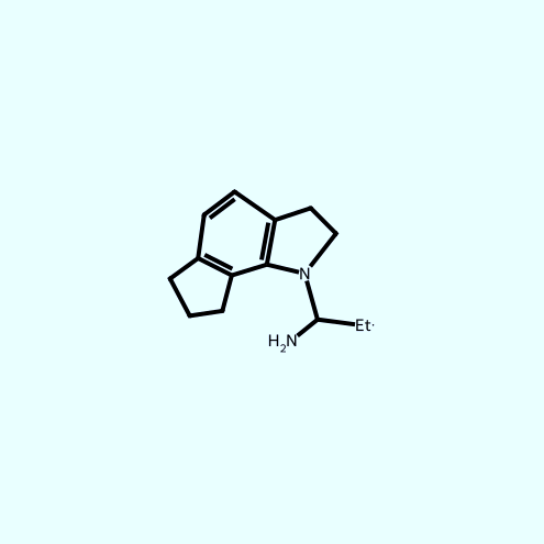 C[CH]C(N)N1CCc2ccc3c(c21)CCC3